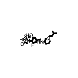 CC(C)CCN1CCC[C@@H](NCc2cc(O)c(N3CC(=O)NS3(=O)=O)c(F)c2)C1